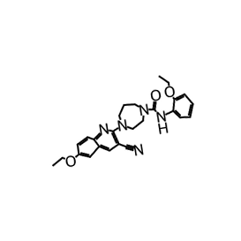 CCOc1ccc2nc(N3CCCN(C(=O)Nc4ccccc4OCC)CC3)c(C#N)cc2c1